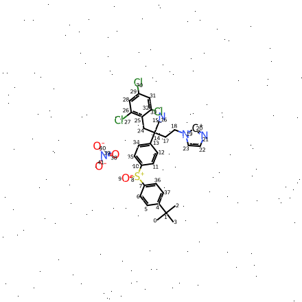 CC(C)(C)c1ccc([S+]([O-])c2ccc(C(C#N)(CCN3[C+]=NC=C3)Cc3c(Cl)cc(Cl)cc3Cl)cc2)cc1.O=[N+]([O-])[O-]